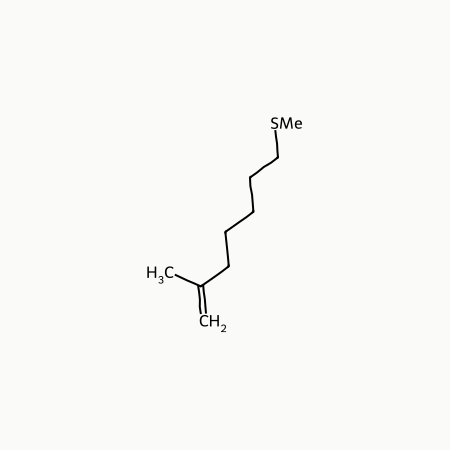 C=C(C)CCCCCSC